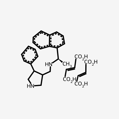 C[C@@H](NCC1CNCC1c1ccccc1)c1cccc2ccccc12.O=C(O)C=CC(=O)O.O=C(O)C=CC(=O)O